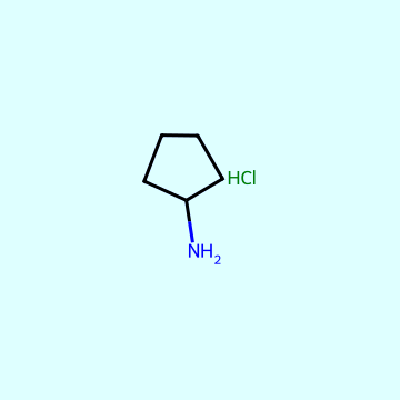 Cl.NC1CCCC1